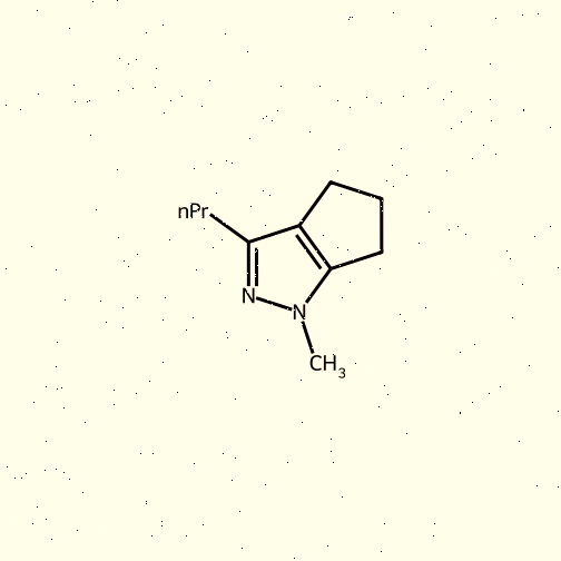 CCCc1nn(C)c2c1CCC2